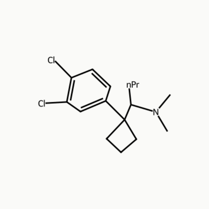 CCCC(N(C)C)C1(c2ccc(Cl)c(Cl)c2)CCC1